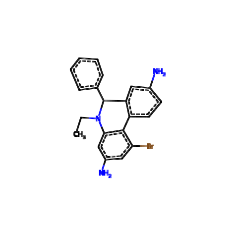 CCN1c2cc(N)cc(Br)c2-c2ccc(N)cc2C1c1ccccc1